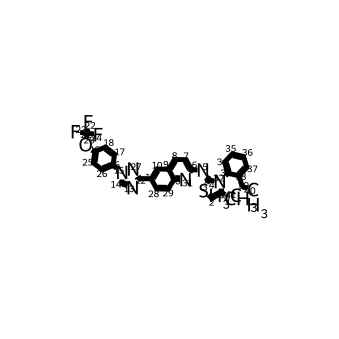 Cc1csc(=Nc2ccc3cc(-c4ncn(-c5ccc(OC(F)(F)F)cc5)n4)ccc3n2)n1-c1ccccc1C(C)C